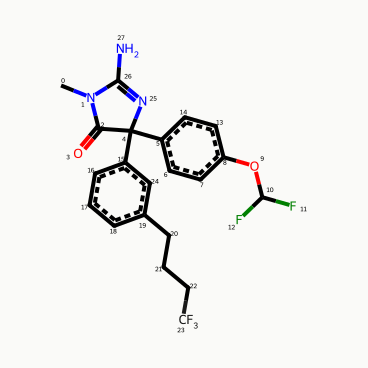 CN1C(=O)C(c2ccc(OC(F)F)cc2)(c2cccc(CCCC(F)(F)F)c2)N=C1N